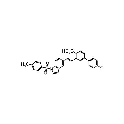 Cc1ccc(S(=O)(=O)n2ccc3cc(C=Cc4cc(-c5ccc(F)cc5)ccc4C(=O)O)ccc32)cc1